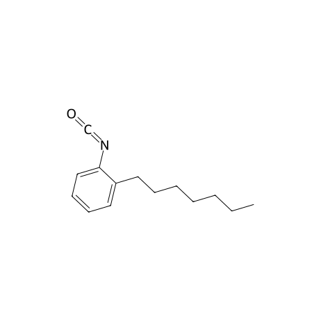 CCCCCCCc1ccccc1N=C=O